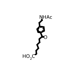 CC(=O)NCCc1ccc(C(=O)CCCCCCC(=O)O)cc1